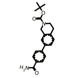 CC(C)(C)OC(=O)N1CCc2ccc(-c3ccc(C(N)=O)cc3)cc2C1